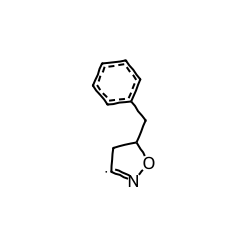 [C]1=NOC(Cc2ccccc2)C1